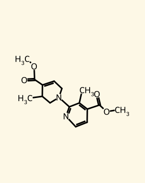 COC(=O)C1=CCN(c2nccc(C(=O)OC)c2C)CC1C